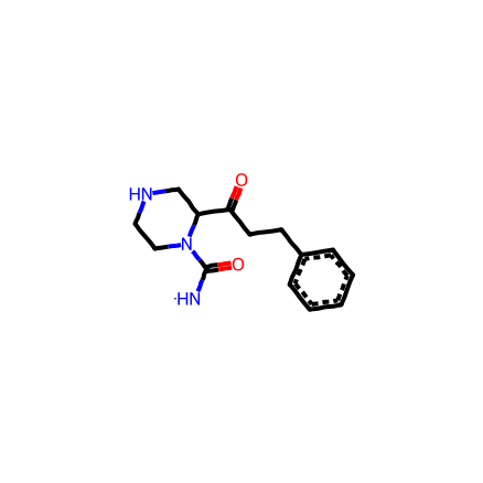 [NH]C(=O)N1CCNCC1C(=O)CCc1ccccc1